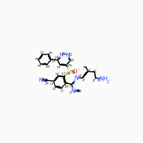 C=N/C(=N\C=C(/C)CCN)c1ccc(C#N)cc1[S+]([O-])c1cnnc(-c2ccccc2)c1